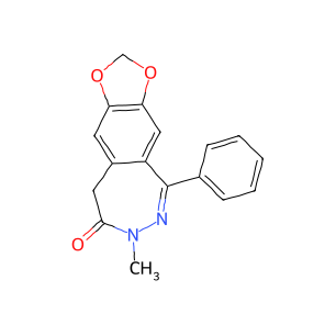 CN1N=C(c2ccccc2)c2cc3c(cc2CC1=O)OCO3